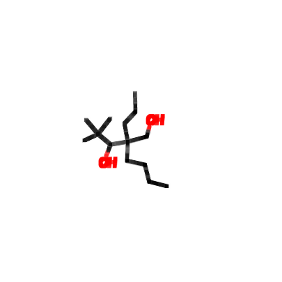 CCCCC(CO)(CCC)C(O)C(C)(C)C